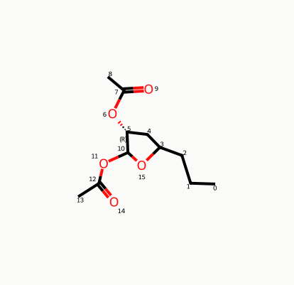 CCCC1C[C@@H](OC(C)=O)C(OC(C)=O)O1